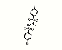 Cc1ccc(S(=O)(=O)N(C)NS(=O)(=O)c2ccc(Br)cc2)cc1